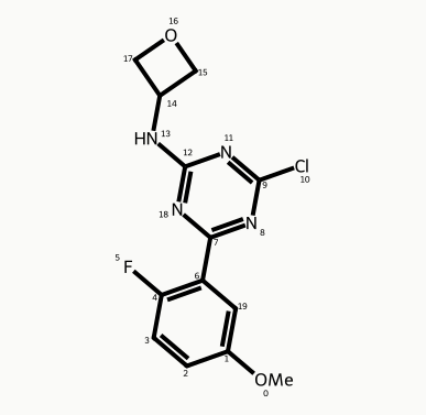 COc1ccc(F)c(-c2nc(Cl)nc(NC3COC3)n2)c1